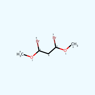 COC(Br)CC(Br)OC